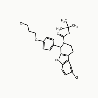 CC(C)(C)OC(=O)N1CCc2c([nH]c3ccc(Cl)cc23)C1c1ccc(OCCCCl)cc1